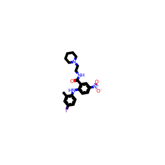 Cc1cc(I)ccc1Nc1ccc([N+](=O)[O-])cc1C(=O)NCCN1CCCCC1